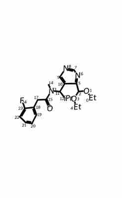 CCOC(OCC)c1ncncc1C(C(C)C)N(C)C(=O)Cc1ccccc1F